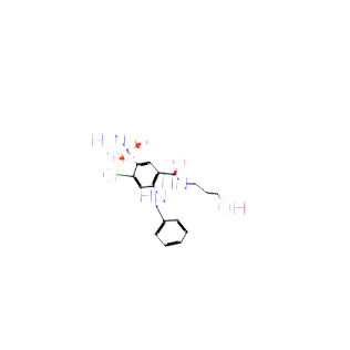 NS(=O)(=O)c1cc(C(=O)NCCCO)c(NCc2ccccc2)cc1Cl